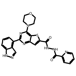 O=C(NNC(=O)c1cc2nc(-c3cccc4[nH]ncc34)nc(N3CCOCC3)c2s1)c1ccccn1